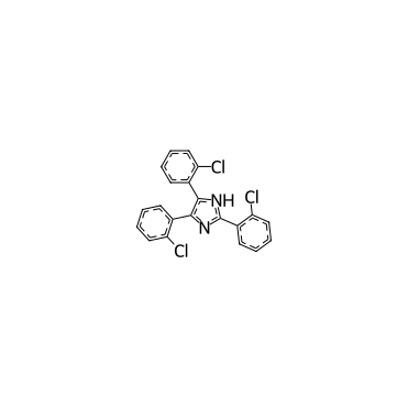 Clc1ccccc1-c1nc(-c2ccccc2Cl)c(-c2ccccc2Cl)[nH]1